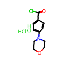 Cl.Cl.O=C(Cl)c1ccc(N2CCOCC2)cc1